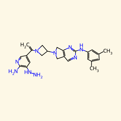 C=C(c1cnc(N)c(NN)c1)N1CC(N2Cc3cnc(Nc4cc(C)cc(C)c4)nc3C2)C1